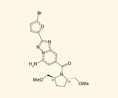 COC[C@@H]1CC[C@@H](COC)N1C(=O)c1cc(N)n2nc(-c3ccc(Br)o3)nc2c1